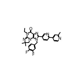 CCN1C(=O)c2nc(-c3ccc(-c4ccnc(C)c4)nc3)n(Cc3ccc(F)c(F)c3)c2N2CC(C)(C)N=C12